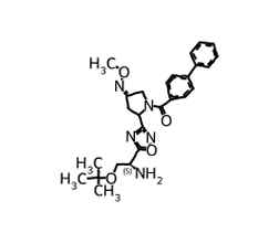 CON=C1CC(c2noc([C@@H](N)COC(C)(C)C)n2)N(C(=O)c2ccc(-c3ccccc3)cc2)C1